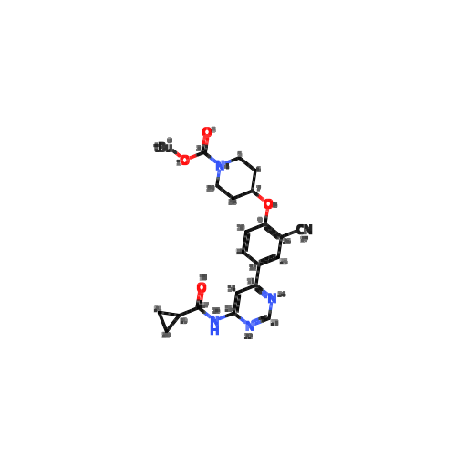 CC(C)(C)OC(=O)N1CCC(Oc2ccc(-c3cc(NC(=O)C4CC4)ncn3)cc2C#N)CC1